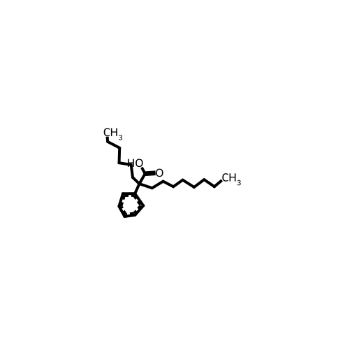 CCCCCCCCC(CCCCCC)(C(=O)O)c1ccccc1